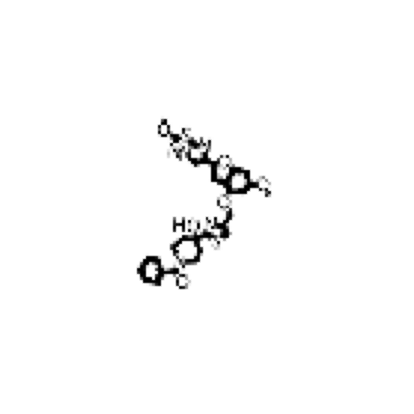 COc1cc(OCc2csc(C3(O)CCN(C(=O)c4ccccc4)CC3)n2)c2cc(-c3cn4nc(OC)sc4n3)oc2c1